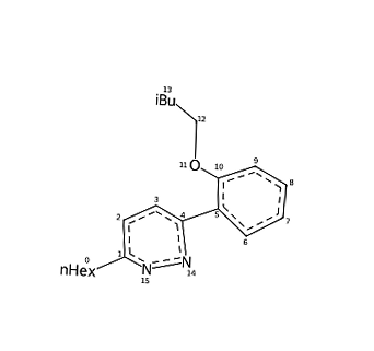 CCCCCCc1ccc(-c2ccccc2OCC(C)CC)nn1